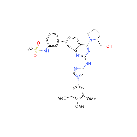 COc1cc(-n2cnc(Nc3nc(N4CCCC4CO)c4ccc(-c5cccc(NS(C)(=O)=O)c5)cc4n3)c2)cc(OC)c1OC